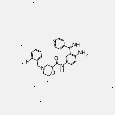 N=C(c1ccncc1)c1cc(NC(=O)C2CN(Cc3ccccc3F)CCO2)ccc1N